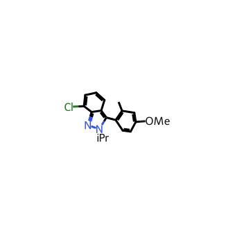 COc1ccc(-c2c3cccc(Cl)c3nn2C(C)C)c(C)c1